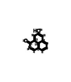 Cl.O=C1N=Cc2cccc3cccc1c23